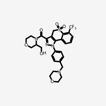 O=C(c1nn(-c2ccc(CN3CCOCC3)cc2)c2c1CS(=O)(=O)c1c-2cccc1C(F)(F)F)N1CCOCC1CO